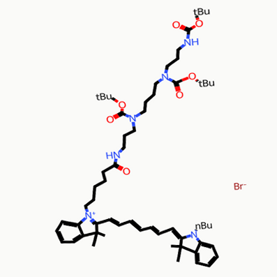 CCCCN1/C(=C/C=C/C=C/C=C/C2=[N+](CCCCCC(=O)NCCCN(CCCCN(CCCNC(=O)OC(C)(C)C)C(=O)OC(C)(C)C)C(=O)OC(C)(C)C)c3ccccc3C2(C)C)C(C)(C)c2ccccc21.[Br-]